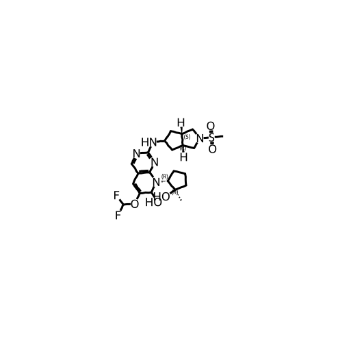 C[C@@]1(O)CCC[C@H]1N1c2nc(NC3C[C@@H]4CN(S(C)(=O)=O)C[C@@H]4C3)ncc2C=C(OC(F)F)C1O